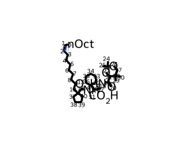 CCCCCCCC/C=C\CCCCCCCCC1(C(=O)NC2(C(CNC(=O)C3OC(C)(C)OCC3(C)C)C(=O)O)CCCCC2)CCCC1